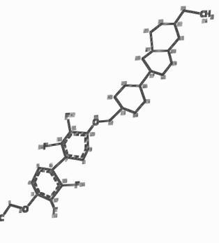 CCOc1ccc(-c2ccc(OCC3CCC(C4CCC5CC(CC)CCC5C4)CC3)c(F)c2F)c(F)c1F